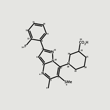 CSc1c(C)nc2cc(-c3ccccc3F)nn2c1N1CCCC(C(=O)O)C1